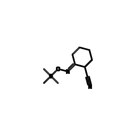 C[Si](C)(C)ON=C1CCCCC1C#N